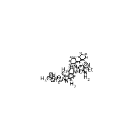 CCc1noc([C@@H](C(=O)Nc2ccc(-c3c(C)nn(COCC[Si](C)(C)C)c3C)c(F)n2)C(C2CCCCC2)C2CCCCC2)c1C(N)=O